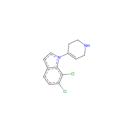 Clc1ccc2ccn(C3=CCNCC3)c2c1Cl